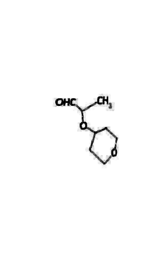 CC(C=O)OC1CCOCC1